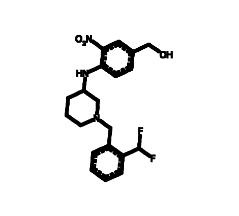 O=[N+]([O-])c1cc(CO)ccc1NC1CCCN(Cc2ccccc2C(F)F)C1